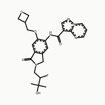 CC(C)(O)C(F)CN1Cc2cc(NC(=O)c3cnn4cccnc34)c(OCC3COC3)cc2C1=O